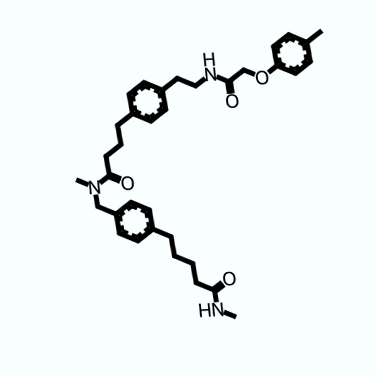 CNC(=O)CCCCc1ccc(CN(C)C(=O)CCCc2ccc(CCNC(=O)COc3ccc(C)cc3)cc2)cc1